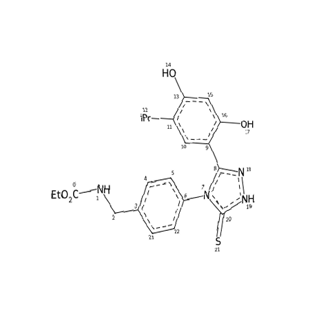 CCOC(=O)NCc1ccc(-n2c(-c3cc(C(C)C)c(O)cc3O)n[nH]c2=S)cc1